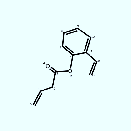 C=CCC(=O)Oc1ccccc1C=C